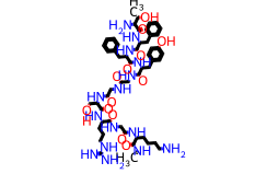 CNC(=O)C(CCCCN)NC(=O)CNC(=O)C(CCCNC(=N)N)NC(=O)C(CO)NC(=O)CNC(=O)CNC(=O)C(Cc1ccc(O)cc1)NC(=O)C(Cc1ccccc1)NC(=O)C(Cc1ccccc1)NC(=O)C(N)C(C)O